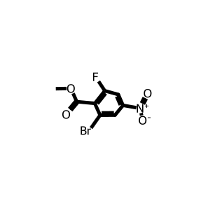 COC(=O)c1c(F)cc([N+](=O)[O-])cc1Br